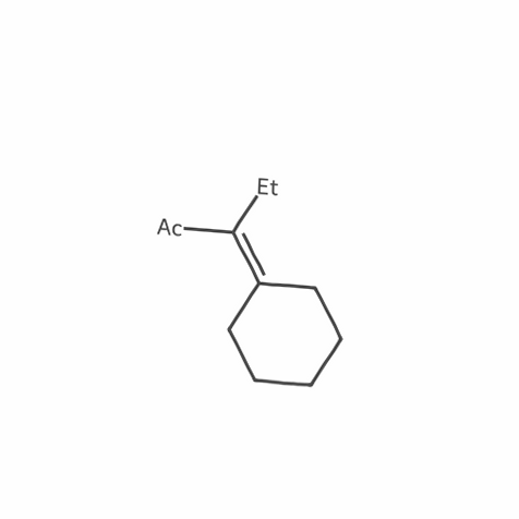 CCC(C(C)=O)=C1CCCCC1